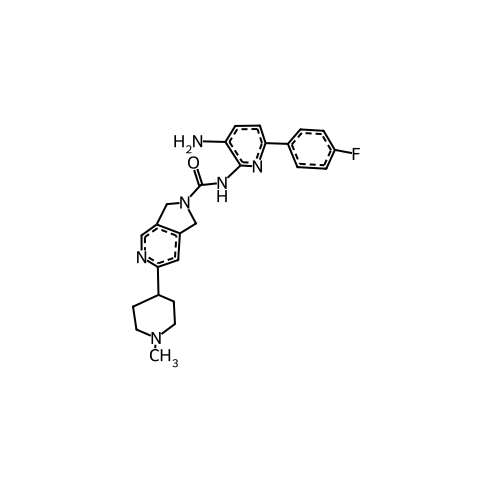 CN1CCC(c2cc3c(cn2)CN(C(=O)Nc2nc(-c4ccc(F)cc4)ccc2N)C3)CC1